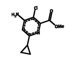 COC(=O)c1nc(C2CC2)cc(N)c1Cl